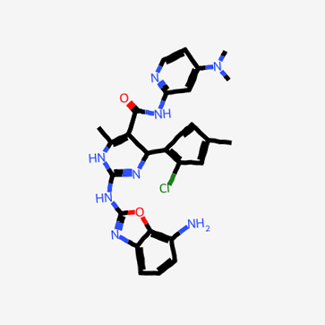 CC1=C(C(=O)Nc2cc(N(C)C)ccn2)C(c2ccc(C)cc2Cl)N=C(Nc2nc3cccc(N)c3o2)N1